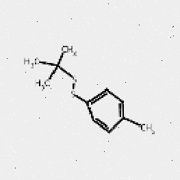 Cc1ccc(SSC(C)(C)C)cc1